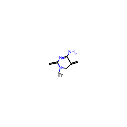 C=C1CN(C(C)C)C(=C)N=C1N